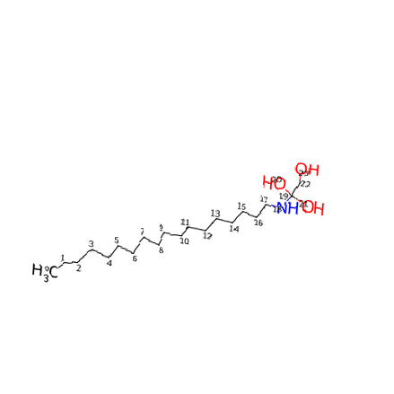 CCCCCCCCCCCCCCCCCCNC(O)(O)CO